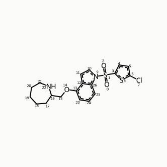 O=S(=O)(c1ccc(Cl)s1)n1ccc2c(OCC3CCCCCN3)cccc21